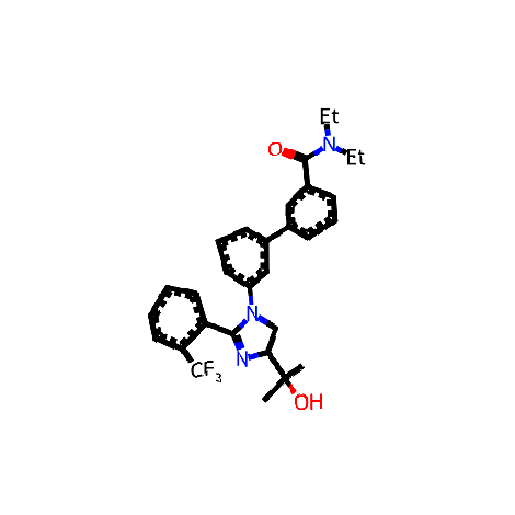 CCN(CC)C(=O)c1cccc(-c2cccc(N3CC(C(C)(C)O)N=C3c3ccccc3C(F)(F)F)c2)c1